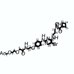 CC(=O)COCCOCC(=O)NCCOc1ccc(Nc2ncc(Br)c(NCCCN(C)C(=O)C3CCC3)n2)cc1